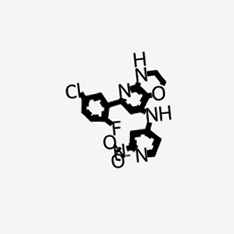 O=[N+]([O-])c1cc(Nc2cc(-c3cc(Cl)ccc3F)nc3c2OCCN3)ccn1